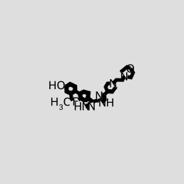 CCc1cc(O)ccc1-c1ccc2c(-c3nc(C4=CCN(CCN5CCOCC5)CC4)c[nH]3)n[nH]c2c1F